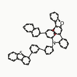 c1cc(-c2cccc(N(c3cccc(-c4ccc5ccccc5c4)c3)c3ccccc3-c3ccc4c(c3)oc3ccccc34)c2)cc(-c2cccc3c2sc2ccccc23)c1